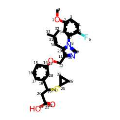 COc1ccc(F)c(-n2cnc(COc3cccc(C(CC(=O)O)SC4CC4)c3)c2C=C(C)C)c1